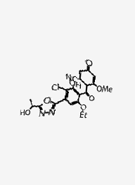 CCOc1cc(-c2nnc([C@H](C)O)o2)c(Cl)c(O)c1C(=O)C1C(OC)=CC(=O)C[C@H]1C#N